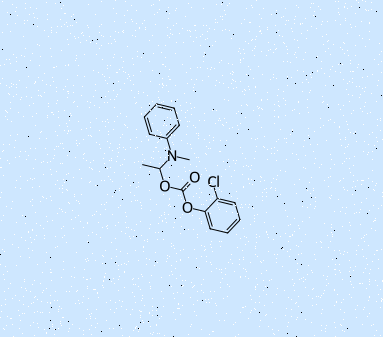 CC(OC(=O)Oc1ccccc1Cl)N(C)c1ccccc1